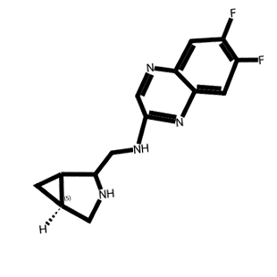 Fc1cc2ncc(NCC3NC[C@H]4CC34)nc2cc1F